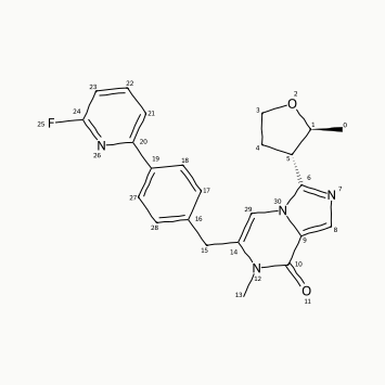 C[C@@H]1OCC[C@H]1c1ncc2c(=O)n(C)c(Cc3ccc(-c4cccc(F)n4)cc3)cn12